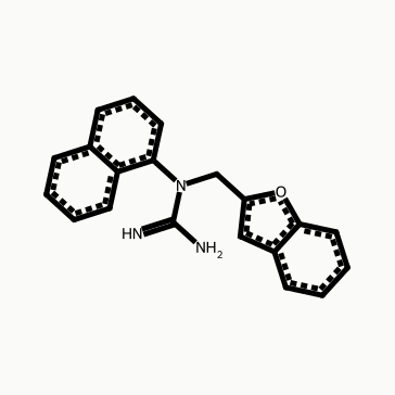 N=C(N)N(Cc1cc2ccccc2o1)c1cccc2ccccc12